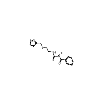 O=C(NCCSCc1ccsn1)N(S)C(=O)c1ccccc1